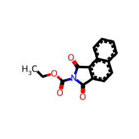 CCOC(=O)N1C(=O)c2ccc3ccccc3c2C1=O